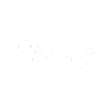 C1=C(c2ccc3cc(-c4c5ccccc5c(/C5=C/C=C\C/C=C\C=C/C5)c5ccccc45)ccc3c2)CC2Oc3ccc4cc5sc6ccccc6c5cc4c3C2=C1